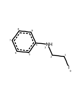 ICCNc1ccccc1